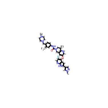 CC[C@@H]1CN(C(=O)Nc2ccc(CN3CCN(CC)CC3)c(C(F)(F)F)c2)Cc2cc(Oc3c(F)cnc4[nH]c(-c5cnn(C)c5)cc34)cnc21